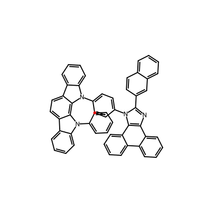 c1ccc(-n2c3ccccc3c3ccc4c5ccccc5n(-c5ccc(-n6c(-c7ccc8ccccc8c7)nc7c8ccccc8c8ccccc8c76)cc5)c4c32)cc1